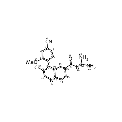 COc1cc(C#N)ccc1-c1c(Cl)cnc2ccc(C(=O)N=C(N)N)cc12